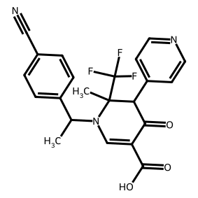 CC(c1ccc(C#N)cc1)N1C=C(C(=O)O)C(=O)C(c2ccncc2)C1(C)C(F)(F)F